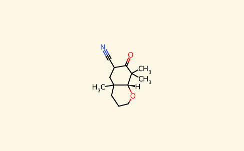 CC12CCCO[C@H]1C(C)(C)C(=O)C(C#N)C2